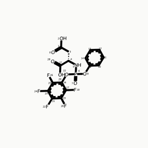 O=C(O)C[C@H](NP(=O)(Oc1ccccc1)Oc1c(F)c(F)c(F)c(F)c1F)C(=O)O